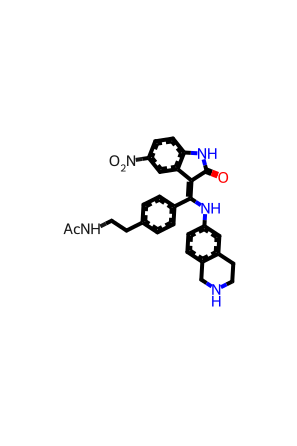 CC(=O)NCCc1ccc(C(Nc2ccc3c(c2)CCNC3)=C2C(=O)Nc3ccc([N+](=O)[O-])cc32)cc1